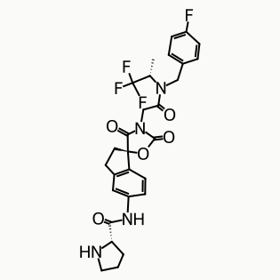 C[C@H](N(Cc1ccc(F)cc1)C(=O)CN1C(=O)O[C@@]2(CCc3cc(NC(=O)[C@@H]4CCCN4)ccc32)C1=O)C(F)(F)F